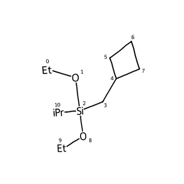 CCO[Si](CC1CCC1)(OCC)C(C)C